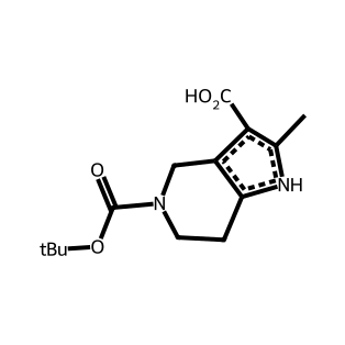 Cc1[nH]c2c(c1C(=O)O)CN(C(=O)OC(C)(C)C)CC2